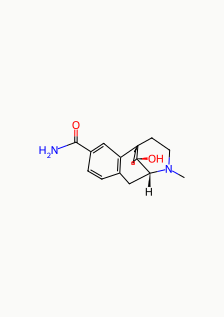 CN1CCC23CCCC[C@@]2(O)[C@H]1Cc1ccc(C(N)=O)cc13